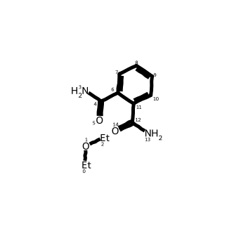 CCOCC.NC(=O)c1ccccc1C(N)=O